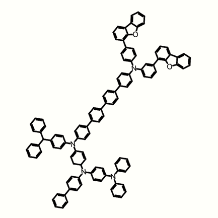 C1=CC(N(c2ccc(-c3ccccc3)cc2)c2ccc(N(c3ccccc3)c3ccccc3)cc2)CC=C1N(c1ccc(-c2ccc(-c3ccc(-c4ccc(N(c5ccc(-c6cccc7c6oc6ccccc67)cc5)c5cccc(-c6cccc7c6oc6ccccc67)c5)cc4)cc3)cc2)cc1)c1ccc(C(c2ccccc2)c2ccccc2)cc1